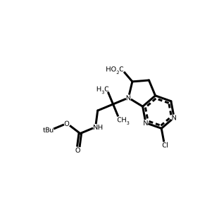 CC(C)(C)OC(=O)NCC(C)(C)N1c2nc(Cl)ncc2CC1C(=O)O